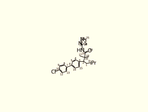 CC(C)CC(c1ccc(-c2ccc(Cl)cc2)cc1)C(C)(C)C(=O)Nc1nncs1